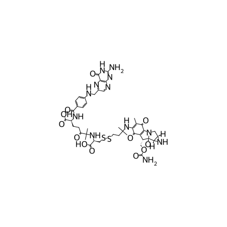 CO[C@@]12[C@H](COC(N)=O)C3=C(C(=O)C(C)=C(NC(C)(C)CCSSC[C@H](NC(C)(C)C(=O)CC[C@H](NC(=O)c4ccc(NCc5cnc6nc(N)[nH]c(=O)c6n5)cc4)C(=O)O)C(=O)O)C3=O)N1C[C@@H]1N[C@@H]12